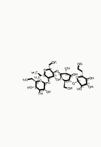 CC(C)[C@@H]1O[C@H](CO)[C@@H](O[C@@H]2O[C@H](CO)[C@@H](O[C@@H]3O[C@H](CCO)[C@@H](O)[C@H](O)[C@H]3O)[C@H](O)[C@H]2O)[C@H](O)[C@H]1O[C@@H]1O[C@H](CO)[C@@H](O)[C@H](O)[C@H]1O